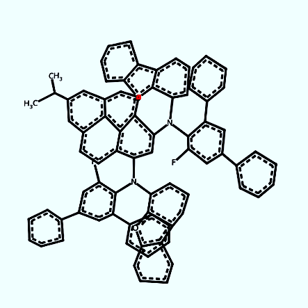 CC(C)c1cc2ccc3c(N(c4c(F)cc(-c5ccccc5)cc4-c4ccccc4)c4cccc5c4oc4ccccc45)cc(N(c4c(F)cc(-c5ccccc5)cc4-c4ccccc4)c4cccc5c4oc4ccccc45)c4ccc(c1)c2c34